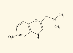 CN(C)CC1=CNc2cc([N+](=O)[O-])ccc2O1